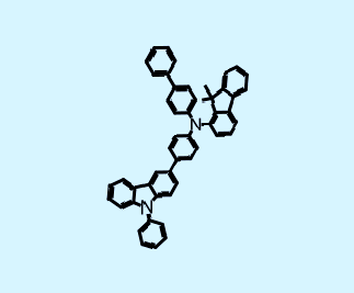 CC1(C)c2ccccc2-c2cccc(N(c3ccc(-c4ccccc4)cc3)c3ccc(-c4ccc5c(c4)c4ccccc4n5-c4ccccc4)cc3)c21